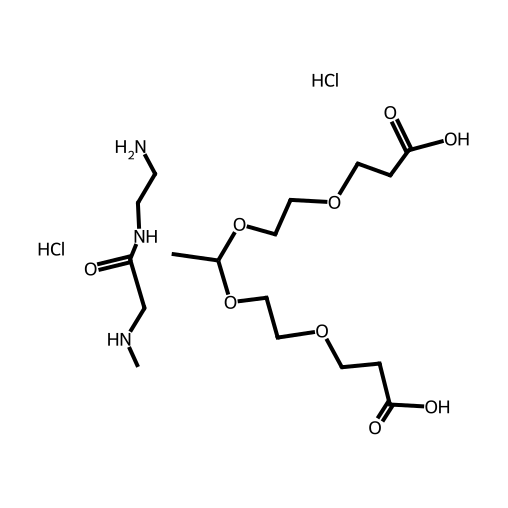 CC(OCCOCCC(=O)O)OCCOCCC(=O)O.CNCC(=O)NCCN.Cl.Cl